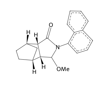 COC1[C@@H]2[C@@H]3CC[C@@H](C3)[C@@H]2C(=O)N1c1cccc2ccccc12